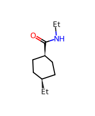 CCNC(=O)[C@H]1CC[C@@H](CC)CC1